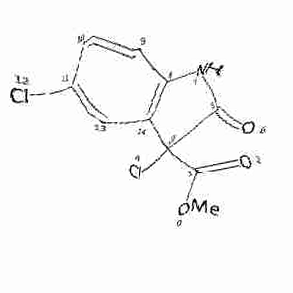 COC(=O)C1(Cl)C(=O)Nc2ccc(Cl)cc21